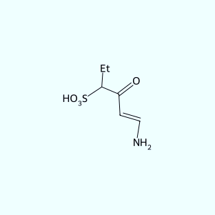 CCC(C(=O)C=CN)S(=O)(=O)O